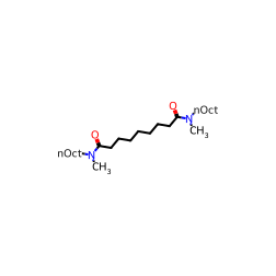 CCCCCCCCN(C)C(=O)CCCCCCCC(=O)N(C)CCCCCCCC